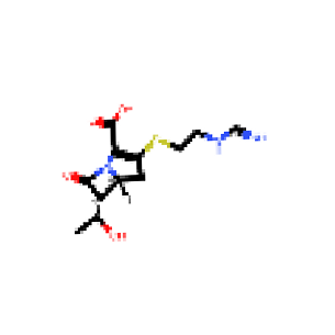 CC(O)[C@@H]1C(=O)N2C(C(=O)O)=C(SCCNC=N)C[C@H]12